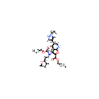 CCOC(=O)c1oc2ncc(-c3cnn(C)c3)cc2c1N(CCC1CCCO1)C(=O)OCC